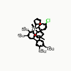 [CH2]=[Zr]([C]1=CC=CC1)([c]1ccc(C)cc1)([c]1cccc(Cl)c1)[c]1c2c(cc(C(C)(C)C)c1C(C)(C)C)-c1cc(C(C)(C)C)c(C(C)(C)C)cc1C2